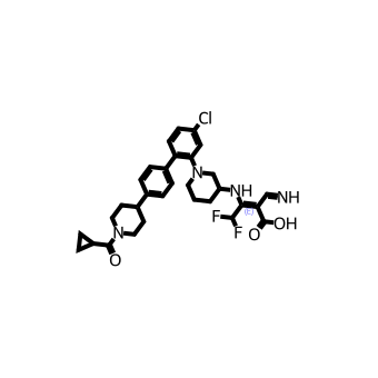 N=C/C(C(=O)O)=C(\NC1CCCN(c2cc(Cl)ccc2-c2ccc(C3CCN(C(=O)C4CC4)CC3)cc2)C1)C(F)F